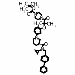 CC(C)(C)OC(=O)N1CCN(C(=O)C(C)(C)Oc2cccc(N3CCC[C@@H](C(=O)N(Cc4ccc(-c5ccccc5)cc4)C4CC4)C3)c2)CC1